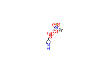 CC(C)O[C@H](COC(=O)OCC1CCNCC1)CN(C)S(C)(=O)=O